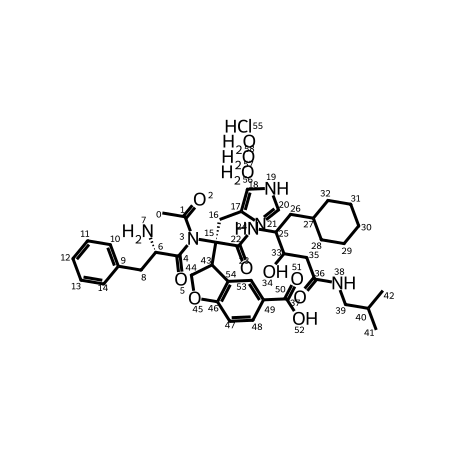 CC(=O)N(C(=O)[C@@H](N)Cc1ccccc1)[C@@](Cc1c[nH]cn1)(C(=O)NC(CC1CCCCC1)C(O)CC(=O)NCC(C)C)C1COc2ccc(C(=O)O)cc21.Cl.O.O.O